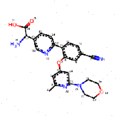 Cc1cc(Oc2cc(C#N)ccc2-c2ccc(C(N)C(=O)O)cn2)cc(N2CCOCC2)n1